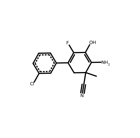 CC1(C#N)CC(c2cccc(Cl)c2)=C(F)C(O)=C1N